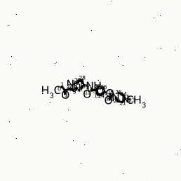 CCC(=O)c1cn2cc(NC(=O)c3ccc(OC(=O)N4CCN(C)CC4)cc3)ccc2n1